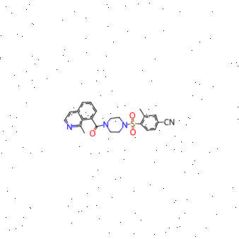 Cc1cc(C#N)ccc1S(=O)(=O)N1CCN(C(=O)c2cccc3ccnc(C)c23)CC1